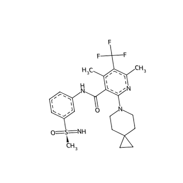 Cc1nc(N2CCC3(CC2)CC3)c(C(=O)Nc2cccc([S@](C)(=N)=O)c2)c(C)c1C(F)(F)F